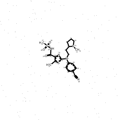 Cc1sc(N(CCC2CCCN2C)c2ccc(C#N)cc2)nc1C(=O)NS(C)(=O)=O